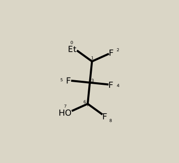 CCC(F)C(F)(F)[C](O)F